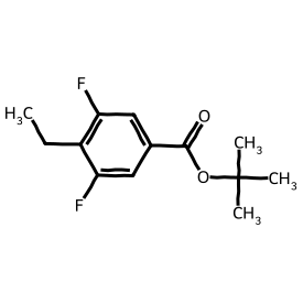 CCc1c(F)cc(C(=O)OC(C)(C)C)cc1F